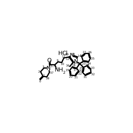 C=C1CCN(C(=O)C(N)CCCc2ncn(C(c3ccccc3)(c3ccccc3)c3ccccc3)c2C)CC1.Cl